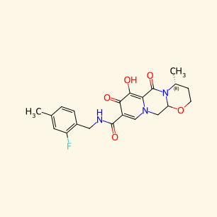 Cc1ccc(CNC(=O)c2cn3c(c(O)c2=O)C(=O)N2C(C3)OCC[C@H]2C)c(F)c1